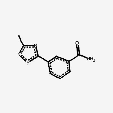 Cc1nsc(-c2cccc(C(N)=O)c2)n1